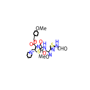 CO/N=C(\C(=O)NC1C(=O)N2C(C(=O)OCc3ccc(OC)cc3)=C(C[n+]3ccccc3)CS[C@H]12)c1csc(NC=O)n1